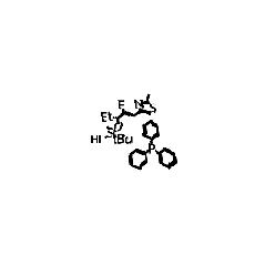 CC[C@H](O[Si](C)(C)C(C)(C)C)C(F)=Cc1csc(C)n1.I.c1ccc(P(c2ccccc2)c2ccccc2)cc1